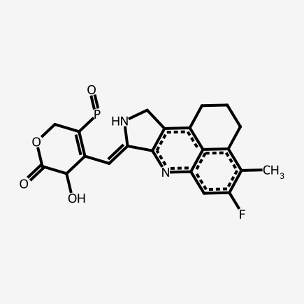 Cc1c(F)cc2nc3c(c4c2c1CCC4)CN/C3=C\C1=C(P=O)COC(=O)C1O